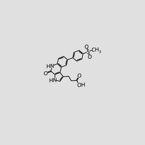 CS(=O)(=O)c1ccc(-c2ccc3[nH]c(=O)c4[nH]cc(CCC(=O)O)c4c3c2)cc1